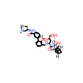 CCOc1c(CN2O[C@@H](CO)[C@H]([C@H](C)O)[C@H]2C(=O)N[C@H]2C[C@H]3C[C@@H]([C@@H]2C)C3(C)C)cccc1-c1cccc(C(=O)N[C@H](CC(C)C)CN(C)C)c1